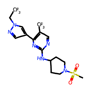 CS(=O)(=O)N1CCC(Nc2ncc(C(F)(F)F)c(-c3cnn(CC(F)(F)F)c3)n2)CC1